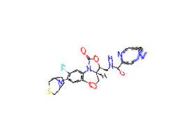 O=C(NC[C@@H]1OC(=O)N2c3cc(F)c(N4C5CCC4CSC5)cc3OC[C@@H]12)c1cnccn1